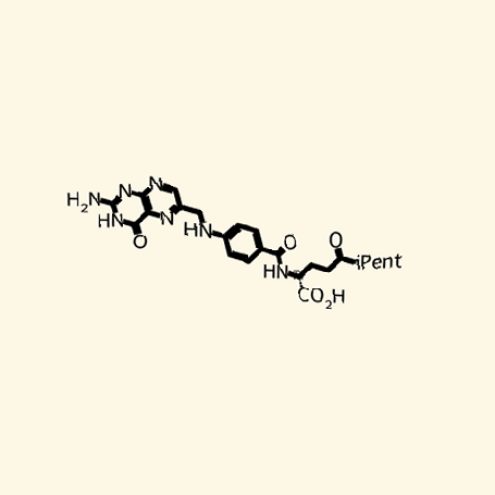 CCCC(C)C(=O)CC[C@@H](NC(=O)c1ccc(NCc2cnc3nc(N)[nH]c(=O)c3n2)cc1)C(=O)O